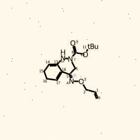 C=CCO/N=C1\CN(C(=O)OC(C)(C)C)NC2=CCCC=C21